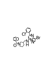 O=C(c1ccco1)N1CCCC(CNc2cc(-c3ccccc3Cl)nc3c(Br)cnn23)C1